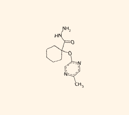 Cc1cnc(OC2(C(=O)NN)CCCCC2)cn1